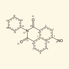 O=Nc1ccc2c3c(cccc13)C(=O)N(c1ccccc1)C2=O